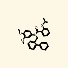 COc1ccc(N(Cc2ccccc2-c2ccccc2)C(=O)c2ccccc2SC(C)C)cc1OC